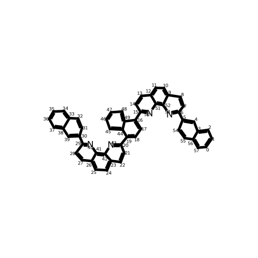 c1ccc2cc(-c3ccc4ccc5ccc(-c6ccc(-c7ccc8ccc9ccc(-c%10ccc%11ccccc%11c%10)nc9c8n7)c7ccccc67)nc5c4n3)ccc2c1